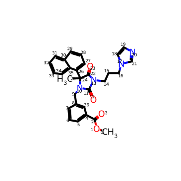 COC(=O)c1cccc(CN2C(=O)N(CCCn3ccnc3)C(=O)C2(C)c2cccc3ccccc23)c1